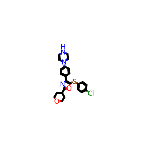 Clc1ccc(Sc2oc(C3CCOCC3)nc2-c2ccc(N3CCNCC3)cc2)cc1